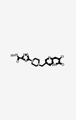 CCc1cc2ncc(CN3CCN(c4nc(C(=O)NC)ns4)CC3)cc2[nH]c1=O